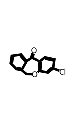 O=C1c2ccccc2COc2cc(Cl)ccc21